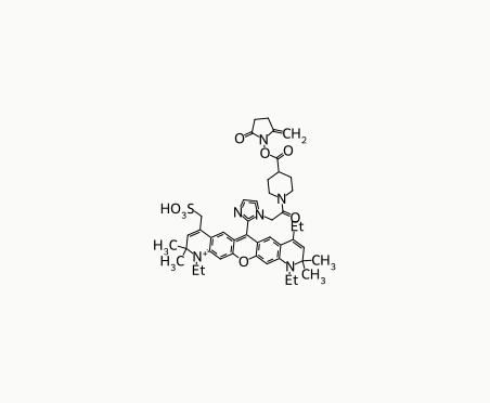 C=C1CCC(=O)N1OC(=O)C1CCN(C(=O)Cn2ccnc2C2=c3cc4c(cc3Oc3cc5c(cc32)C(CC)=CC(C)(C)N5CC)=[N+](CC)C(C)(C)C=C4CS(=O)(=O)O)CC1